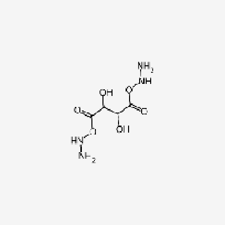 NNOC(=O)C(O)C(O)C(=O)ONN